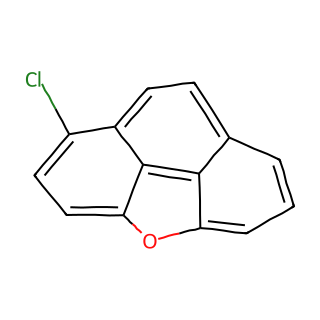 Clc1ccc2oc3cccc4ccc1c2c43